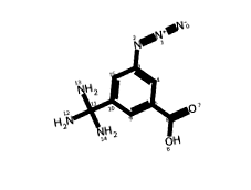 [N-]=[N+]=Nc1cc(C(=O)O)cc(C(N)(N)N)c1